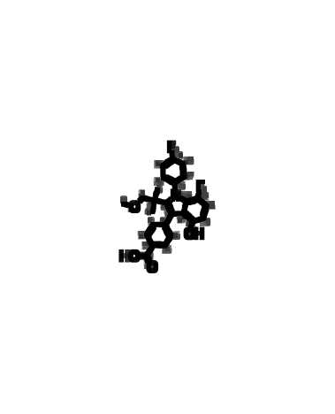 COCC(C)(C)c1c(-c2ccc(C(=O)O)cc2)c2c(O)ccc(F)c2n1-c1ccc(F)cc1